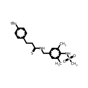 Cc1cc(CNC(=S)CCc2ccc(C(C)(C)C)cc2)cc(C)c1NS(C)(=O)=O